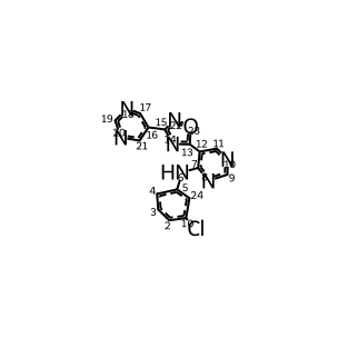 Clc1cccc(Nc2ncncc2-c2nc(-c3cncnc3)no2)c1